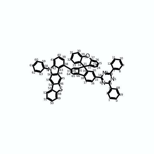 c1ccc(-c2nc(-c3ccccc3)nc(-c3ccc4c(c3)C3(c5ccccc5Oc5ccccc53)c3cc(-c5cccc6c5c5cc7sc8ccccc8c7cc5n6-c5ccccc5)ccc3-4)n2)cc1